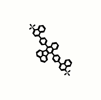 C[Si](C)(C)c1ccc(-c2ccc(-c3c4c(c(-c5ccc(-c6ccc([Si](C)(C)C)c7ccccc67)cc5)c5ccccc35)-c3cccc5cccc-4c35)cc2)c2ccccc12